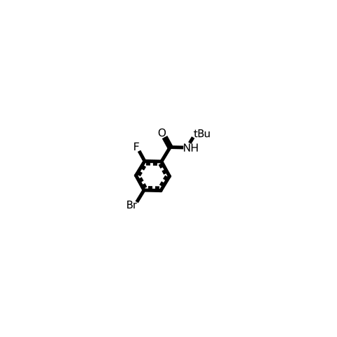 CC(C)(C)NC(=O)c1ccc(Br)cc1F